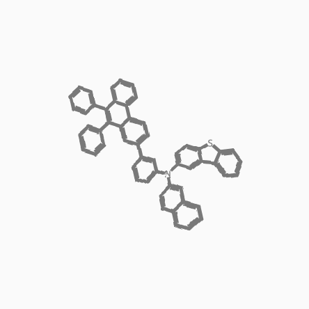 c1ccc(-c2c(-c3ccccc3)c3cc(-c4cccc(N(c5ccc6ccccc6c5)c5ccc6sc7ccccc7c6c5)c4)ccc3c3ccccc23)cc1